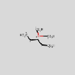 O=C(O)CCCC(=O)O.O=C(O)OC(=O)O